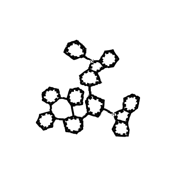 c1ccc(-n2c3ccccc3c3cc(-c4cc(-c5cccc6c5-c5ccccc5-c5ccccc5-c5ccccc5-6)cc(-n5c6ccccc6c6ccccc65)c4)ccc32)cc1